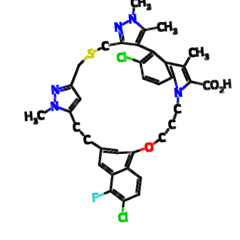 Cc1c(C(=O)O)n2c3ccc(Cl)c(c13)-c1c(nn(C)c1C)CSCc1cc(n(C)n1)CCc1cc(c3ccc(Cl)c(F)c3c1)OCCC2